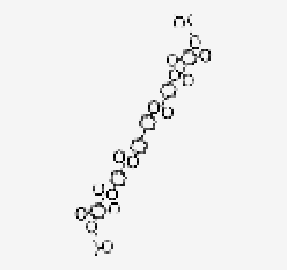 COc1cc(C(=O)Oc2ccc(C(=O)Oc3ccc(-c4ccc(OC(=O)c5ccc(OC(=O)c6cc(OC)c(OCCC(C)OC)cc6OC)cc5)cc4)cc3)cc2)c(OC)cc1OCCC(C)OC